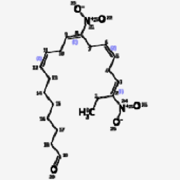 CC/C(=C\C/C=C\C/C(=C\C/C=C\CCCCCC[C]=O)[N+](=O)[O-])[N+](=O)[O-]